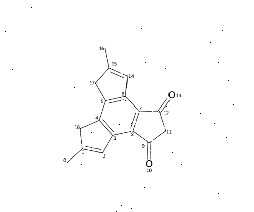 CC1=Cc2c(c3c(c4c2C(=O)CC4=O)C=C(C)C3)C1